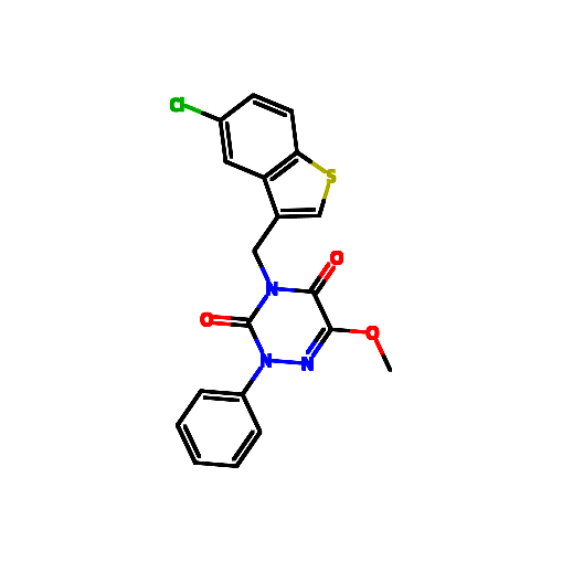 COc1nn(-c2ccccc2)c(=O)n(Cc2csc3ccc(Cl)cc23)c1=O